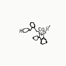 O=C(O)[C@H](Cc1ccccc1CO)N1C(=O)c2ccccc2C1=O